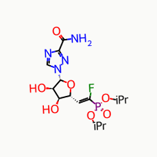 CC(C)OP(=O)(OC(C)C)/C(F)=C/[C@H]1O[C@@H](n2cnc(C(N)=O)n2)[C@H](O)[C@@H]1O